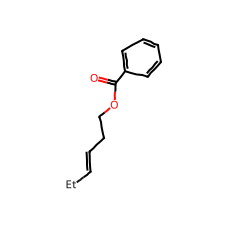 CCC=CCCOC(=O)c1ccccc1